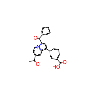 CC(=O)c1ccn2c(C(=O)c3ccccc3)cc(C3C=CC=C(C(=O)O)C=C3)c2c1